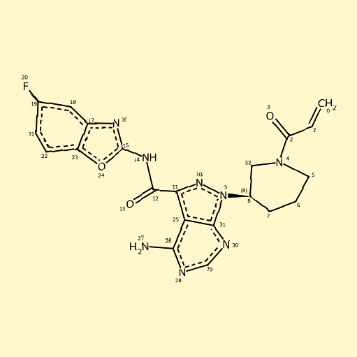 C=CC(=O)N1CCC[C@@H](n2nc(C(=O)Nc3nc4cc(F)ccc4o3)c3c(N)ncnc32)C1